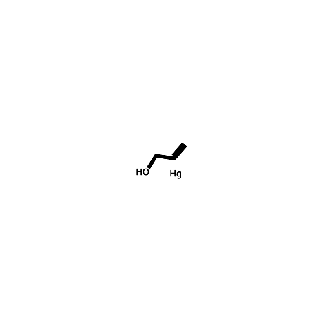 C=CCO.[Hg]